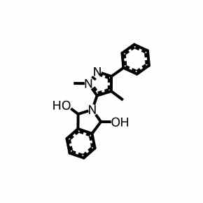 Cc1c(-c2ccccc2)nn(C)c1N1C(O)c2ccccc2C1O